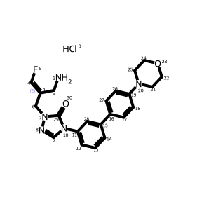 Cl.NC/C(=C\F)Cn1ncn(-c2cccc(-c3ccc(N4CCOCC4)cc3)c2)c1=O